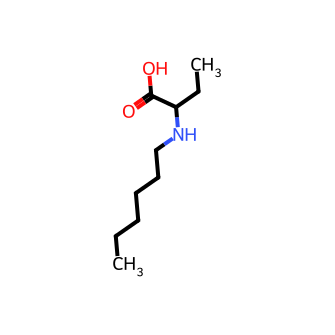 CCCCCCNC(CC)C(=O)O